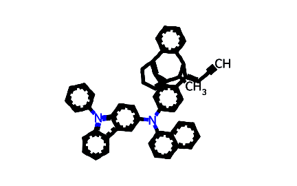 C#C/C=C1/c2ccc(N(c3ccc4c(c3)c3ccccc3n4-c3ccccc3)c3cccc4ccccc34)cc2C2=C3CCC=C2C(C)C1c1ccccc13